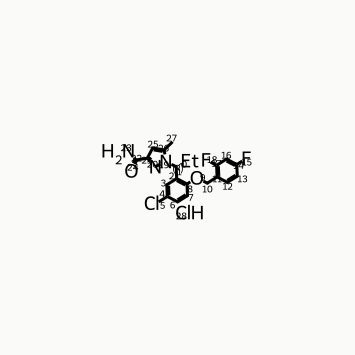 CC[C@H](c1cc(Cl)ccc1OCc1ccc(F)cc1F)n1nc(C(N)=O)cc1C.Cl